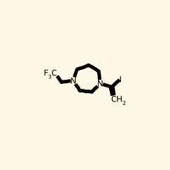 C=C(I)N1CCCN(CC(F)(F)F)CC1